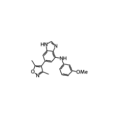 COc1cccc(Nc2cc(-c3c(C)noc3C)cc3[nH]cnc23)c1